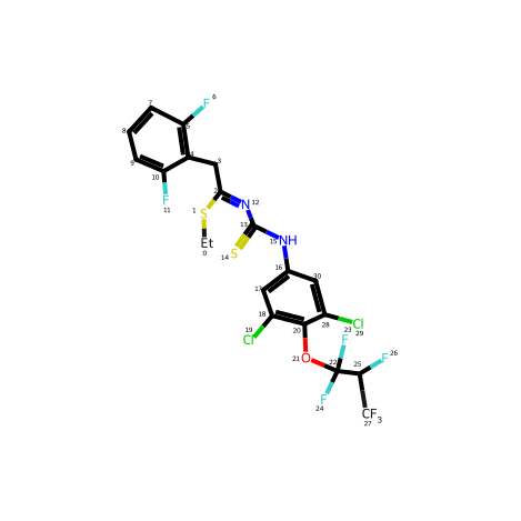 CCSC(Cc1c(F)cccc1F)=NC(=S)Nc1cc(Cl)c(OC(F)(F)C(F)C(F)(F)F)c(Cl)c1